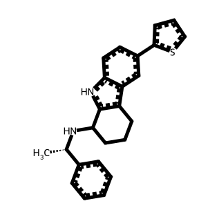 C[C@H](NC1CCCc2c1[nH]c1ccc(-c3cccs3)cc21)c1ccccc1